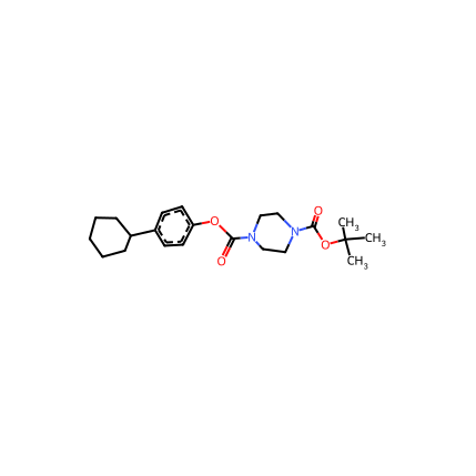 CC(C)(C)OC(=O)N1CCN(C(=O)Oc2ccc(C3CCCCC3)cc2)CC1